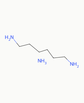 N.NCCCCCCN